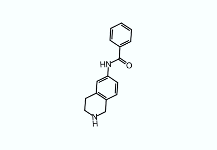 O=C(Nc1ccc2c(c1)CCNC2)c1ccccc1